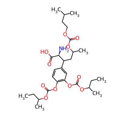 CCC(C)OC(=O)Oc1ccc(C(CC(C)OC(=O)OCCC(C)C)[C@H](N)C(=O)O)cc1OC(=O)OC(C)CC